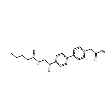 CCCCC(=O)NCC(=O)c1ccc(-c2ccc(CC(=O)O)cc2)cc1